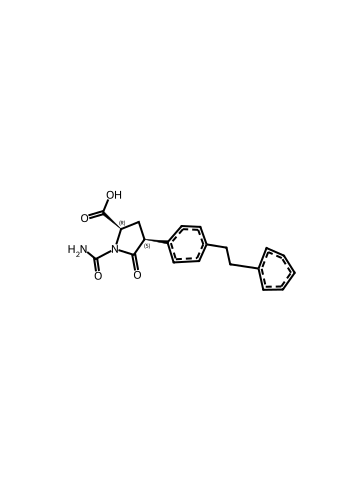 NC(=O)N1C(=O)[C@H](c2ccc(CCc3ccccc3)cc2)C[C@@H]1C(=O)O